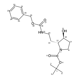 CC(C)(C)OC(=O)N1CC[C@H](O)[C@H]1CCNC(=O)OCc1ccccc1